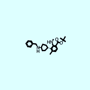 CNc1c(C(=O)OC(C)(C)C)ccc(C)c1[C@H]1CC[C@H](NCc2ccccc2)CC1